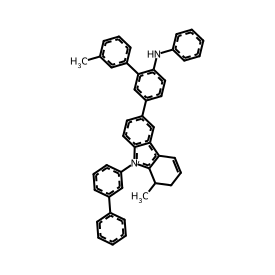 Cc1cccc(-c2cc(-c3ccc4c(c3)c3c(n4-c4cccc(-c5ccccc5)c4)C(C)CC=C3)ccc2Nc2ccccc2)c1